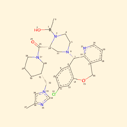 CB(O)N1CCN([C@H]2c3ccc(Cl)cc3OCc3cccnc32)C[C@@H]1C(=O)N1CCC[C@@H](Cn2cnc(C)c2)C1